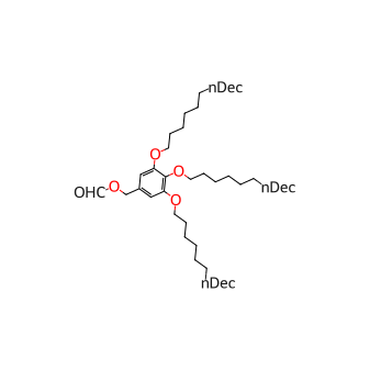 CCCCCCCCCCCCCCCCOc1cc(COC=O)cc(OCCCCCCCCCCCCCCCC)c1OCCCCCCCCCCCCCCCC